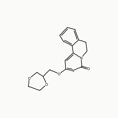 O=c1nc(OCC2COCCO2)cc2n1CCc1ccccc1-2